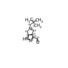 CC(C)(C)CN1Cc2[nH]nc(C=O)c2C1